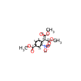 COC(=O)c1ccc(C(C(=O)OC)C(=O)OC)c([N+](=O)[O-])c1